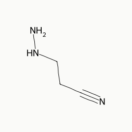 N#CCCNN